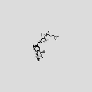 CC(CCN(C)C)NC(=O)CNCc1cc(C(=O)N(C)S(C)(=O)=O)ccn1